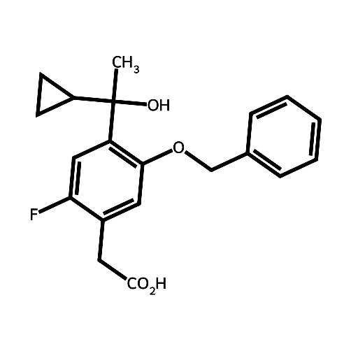 CC(O)(c1cc(F)c(CC(=O)O)cc1OCc1ccccc1)C1CC1